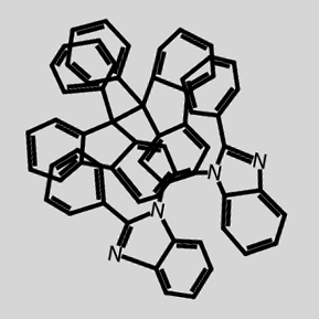 c1ccc(-c2nc3ccccc3n2-c2ccc3c(c2)C(c2ccccc2)(C2(c4ccccc4)c4ccccc4-c4ccc(-n5c(-c6ccccc6)nc6ccccc65)cc42)c2ccccc2-3)cc1